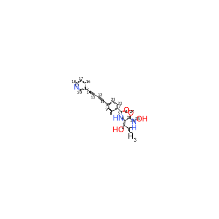 C[C@@H](O)C(NC(=O)c1ccc(C#CC#Cc2cccnc2)cc1)C(=O)NO